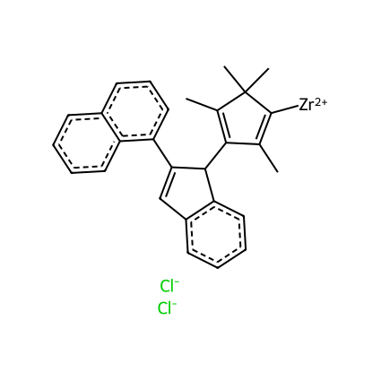 CC1=[C]([Zr+2])C(C)(C)C(C)=C1C1C(c2cccc3ccccc23)=Cc2ccccc21.[Cl-].[Cl-]